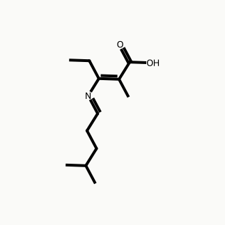 CCC(N=CCCC(C)C)=C(C)C(=O)O